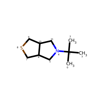 CC(C)(C)N1CC2CSCC2C1